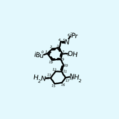 CCC(C)c1cc(C=NC(C)C)c(O)c(C=C2CC(N)CCC2N)c1